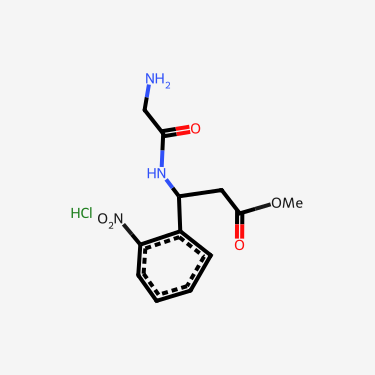 COC(=O)CC(NC(=O)CN)c1ccccc1[N+](=O)[O-].Cl